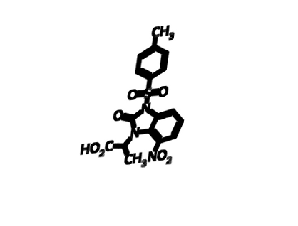 Cc1ccc(S(=O)(=O)n2c(=O)n(C(C)C(=O)O)c3c([N+](=O)[O-])cccc32)cc1